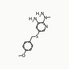 COc1ccc(CSc2cnc(N(C)N)c(N)c2)cc1